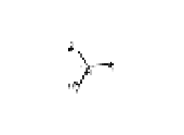 CCC[SH](CCC)C(C)C